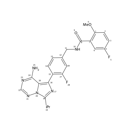 COc1ccc(F)cc1C(=O)NCc1ccc(-c2nc(C(C)C)n3ncnc(N)c23)c(F)c1